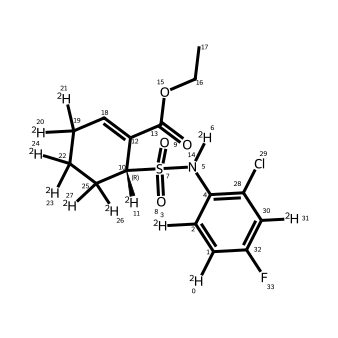 [2H]c1c([2H])c(N([2H])S(=O)(=O)[C@@]2([2H])C(C(=O)OCC)=CC([2H])([2H])C([2H])([2H])C2([2H])[2H])c(Cl)c([2H])c1F